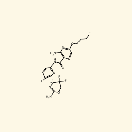 NC1=N[C@H](c2nc(NC(=O)c3ncc(OCCCF)nc3N)ccc2F)C(F)(F)CO1